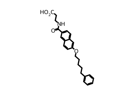 O=C(O)CCNC(=O)c1ccc2cc(OCCCCCc3ccccc3)ccc2c1